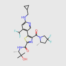 C[C@H](NC(=O)c1nc(C(=O)N2CC(F)(F)C[C@@H]2C)c(-c2cnc(NCC3CC3)cc2C(F)F)s1)C(C)(C)O